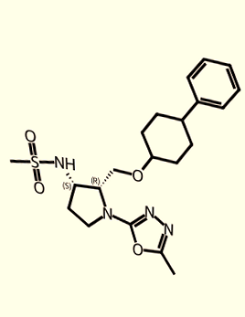 Cc1nnc(N2CC[C@H](NS(C)(=O)=O)[C@@H]2COC2CCC(c3ccccc3)CC2)o1